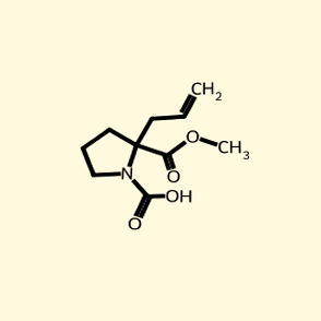 C=CCC1(C(=O)OC)CCCN1C(=O)O